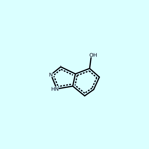 Oc1cccc2[nH]n[c]c12